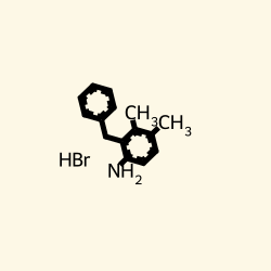 Br.Cc1ccc(N)c(Cc2ccccc2)c1C